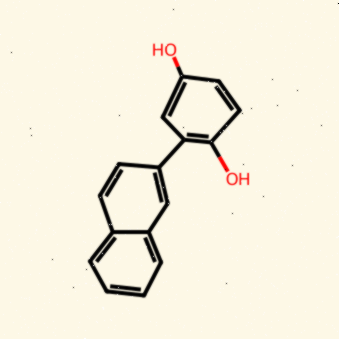 Oc1ccc(O)c(-c2ccc3ccccc3c2)c1